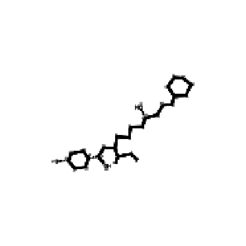 CCC(C)C(CCCC[C@H](O)CCCC1CCCCC1)CC(O)[C@H]1CC[C@@H](I)CC1